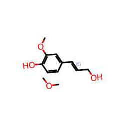 COC.COc1cc(/C=C/CO)ccc1O